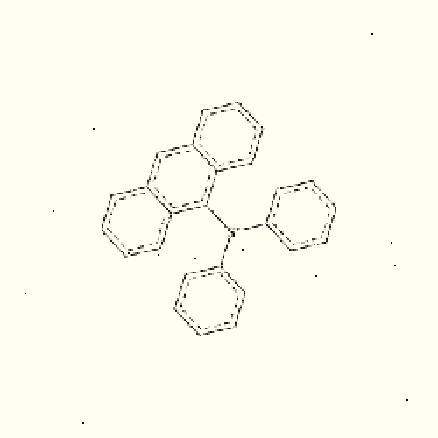 c1ccc([S+](c2ccccc2)c2c3ccccc3cc3ccccc23)cc1